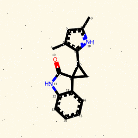 Cc1cc(C)c(C2CC23C(=O)Nc2ccccc23)[nH]1